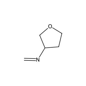 C=NC1CCOC1